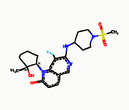 C[C@@]1(O)CCC[C@H]1n1c(=O)ccc2cnc(NC3CCN(S(C)(=O)=O)CC3)c(F)c21